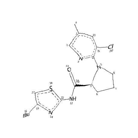 Cc1cnc(N2CCC[C@H]2C(=O)Nc2nc(C(C)(C)C)cs2)c(Cl)c1